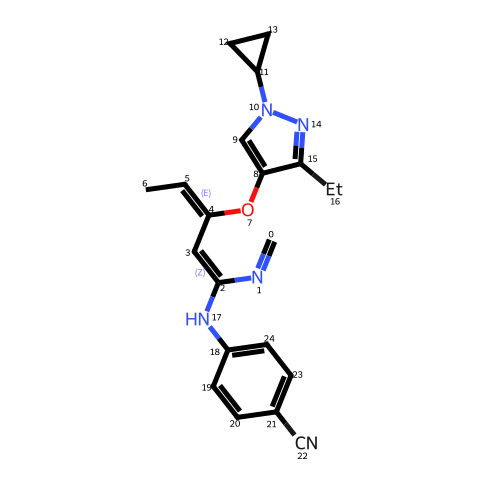 C=N/C(=C\C(=C/C)Oc1cn(C2CC2)nc1CC)Nc1ccc(C#N)cc1